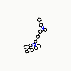 C1=CC2c3ccc(N(c4ccc(-c5ccc(-c6ccc7c(c6)c6ccccc6n7C6=CCC(c7ccccc7)C=C6)cc5)cc4)c4cccc5c4C=CCC5)cc3C3(C4=CCCC=C4c4ccccc43)C2C=C1